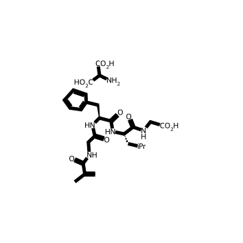 C=C(C)C(=O)NCC(=O)N[C@@H](Cc1ccccc1)C(=O)N[C@@H](CC(C)C)C(=O)NCC(=O)O.NC(C(=O)O)C(=O)O